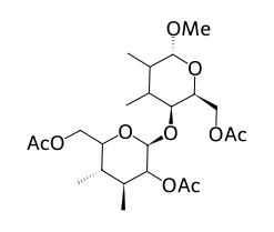 CO[C@@H]1O[C@@H](COC(C)=O)[C@@H](O[C@@H]2OC(COC(C)=O)[C@@H](C)[C@H](C)C2OC(C)=O)C(C)C1C